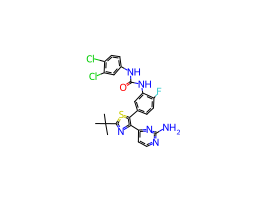 CC(C)(C)c1nc(-c2ccnc(N)n2)c(-c2ccc(F)c(NC(=O)Nc3ccc(Cl)c(Cl)c3)c2)s1